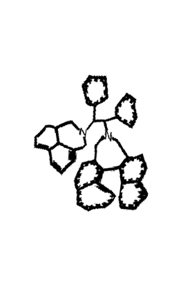 C1=CC2=CC=CC3CN(C(c4ccccc4)C(c4ccccc4)N4Cc5ccc6ccccc6c5-c5c(ccc6ccccc56)C4)CC(=C1)C23